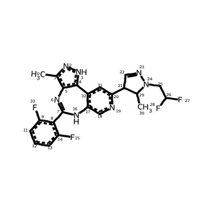 Cc1n[nH]c2c1N=C(c1c(F)cccc1F)Nc1cnc(C3C=NN(CC(F)F)C3C)cc1-2